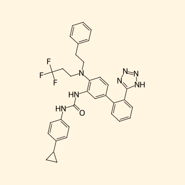 O=C(Nc1ccc(C2CC2)cc1)Nc1cc(-c2ccccc2-c2nnn[nH]2)ccc1N(CCc1ccccc1)CCC(F)(F)F